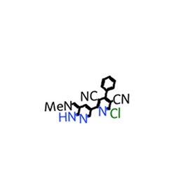 CN/C=C1/C=C(c2nc(Cl)c(C#N)c(-c3ccccc3)c2C#N)C=NC1=N